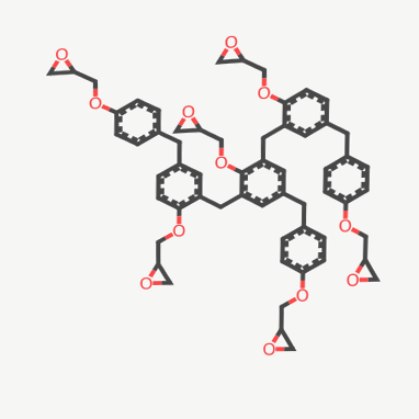 c1cc(OCC2CO2)ccc1Cc1ccc(OCC2CO2)c(Cc2cc(Cc3ccc(OCC4CO4)cc3)cc(Cc3cc(Cc4ccc(OCC5CO5)cc4)ccc3OCC3CO3)c2OCC2CO2)c1